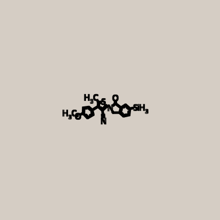 COc1ccc(-c2c(C)sc(N3Cc4ccc([SiH3])cc4C3=O)c2C#N)cc1